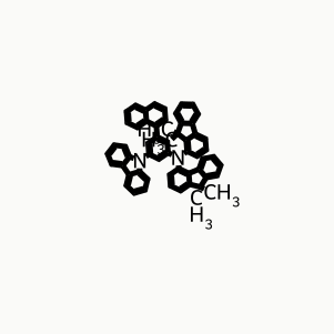 CC1(C)c2ccccc2-c2c(N(c3cc(-c4cccc5ccccc45)cc(-n4c5ccccc5c5ccccc54)c3)c3cccc4c3C(C)(C)c3ccccc3-4)cccc21